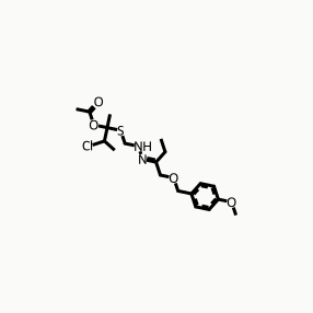 CC/C(COCc1ccc(OC)cc1)=N\NCSC(C)(OC(C)=O)C(C)Cl